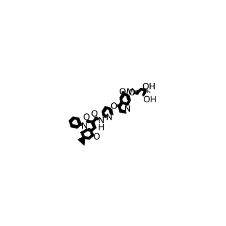 COc1cc2c(Oc3ccc(NC(=O)c4cc5c(n(-c6ccccc6)c4=O)CC4(CC4)CC5=O)nc3)ccnc2cc1OCC[C@@](C)(O)CO